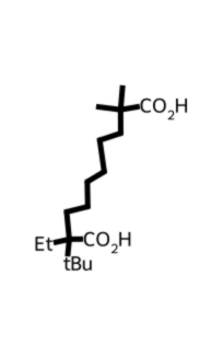 CCC(CCCCCCC(C)(C)C(=O)O)(C(=O)O)C(C)(C)C